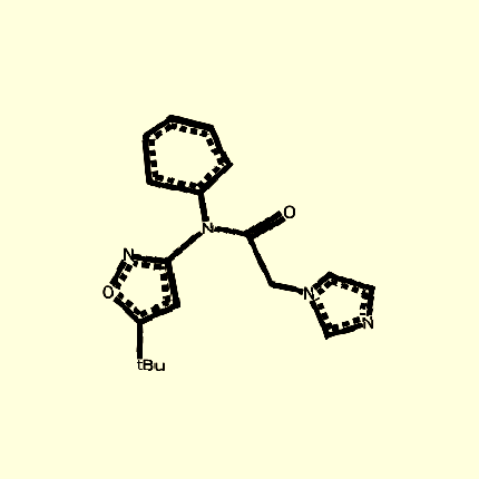 CC(C)(C)c1cc(N(C(=O)Cn2ccnc2)c2ccccc2)no1